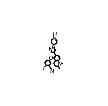 CC1CCc2c(ccc(-c3cnn(C4CCNCC4)c3)c2Oc2ccc(F)c(C#N)c2)N1C